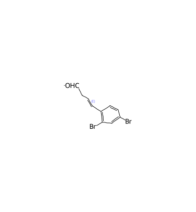 O=[C]C/C=C/c1ccc(Br)cc1Br